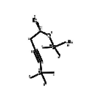 CC[C@H](CC#C[Si](C)(C)C)O[Si](C)(C)C(C)(C)C